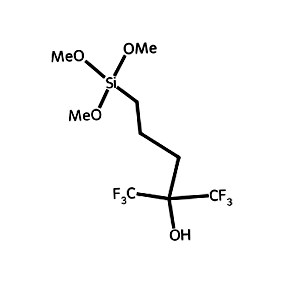 CO[Si](CCCC(O)(C(F)(F)F)C(F)(F)F)(OC)OC